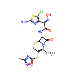 Cc1noc(SC2=C(C(=O)O)N3C(=O)[C@@H](NC(=O)/C(=N/O)c4nc(N)sc4Cl)C3SC2)n1